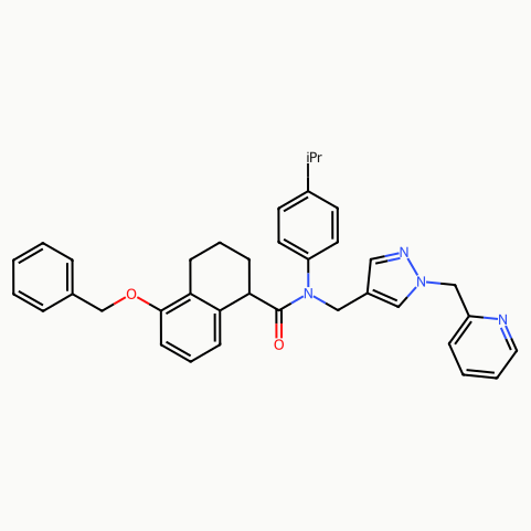 CC(C)c1ccc(N(Cc2cnn(Cc3ccccn3)c2)C(=O)C2CCCc3c(OCc4ccccc4)cccc32)cc1